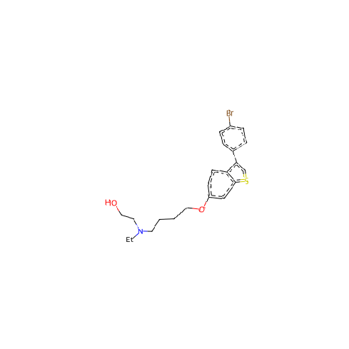 CCN(CCO)CCCCOc1ccc2c(-c3ccc(Br)cc3)csc2c1